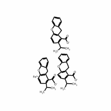 CC(C)c1ccc2c(c1C(=O)[O-])Cc1ccccc1O2.CC(C)c1ccc2c(c1C(=O)[O-])Cc1ccccc1O2.CC(C)c1ccc2c(c1C(=O)[O-])Cc1ccccc1O2.[Fe+3]